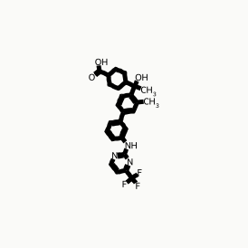 Cc1cc(-c2cccc(Nc3nccc(C(F)(F)F)n3)c2)ccc1C(C)(O)C1CCC(C(=O)O)CC1